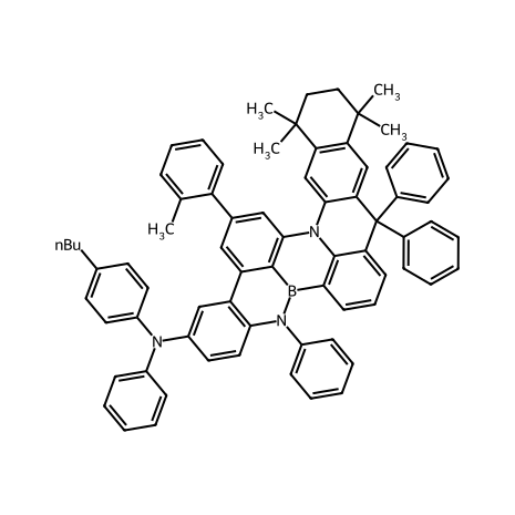 CCCCc1ccc(N(c2ccccc2)c2ccc3c(c2)-c2cc(-c4ccccc4C)cc4c2B(c2cccc5c2N4c2cc4c(cc2C5(c2ccccc2)c2ccccc2)C(C)(C)CCC4(C)C)N3c2ccccc2)cc1